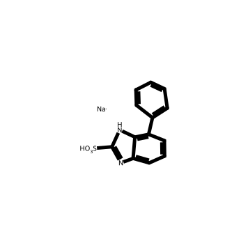 O=S(=O)(O)c1nc2cccc(-c3ccccc3)c2[nH]1.[Na]